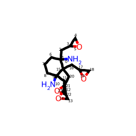 NC1(CC2CO2)CCCC(N)(CC2CO2)C1(CC1CO1)CC1CO1